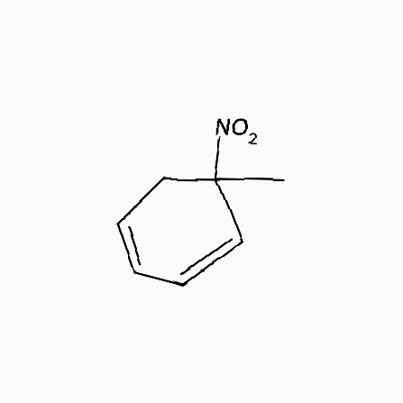 CC1([N+](=O)[O-])C=CC=CC1